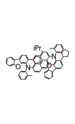 Cc1ccccc1N(c1ccc2ccc3c(N(c4ccccc4C)c4c(C5CCCC5)ccc5c4oc4ccccc45)cc(C(C)C)c4ccc1c2c43)c1c(C2CCCC2)ccc2c1oc1ccccc12